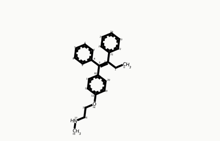 CCC(=C(c1cc[c]cc1)c1ccc(OCCNC)cc1)c1ccccc1